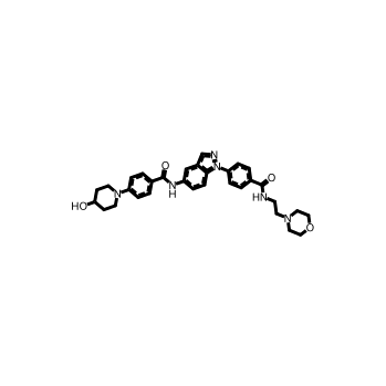 O=C(NCCN1CCOCC1)c1ccc(-n2ncc3cc(NC(=O)c4ccc(N5CCC(O)CC5)cc4)ccc32)cc1